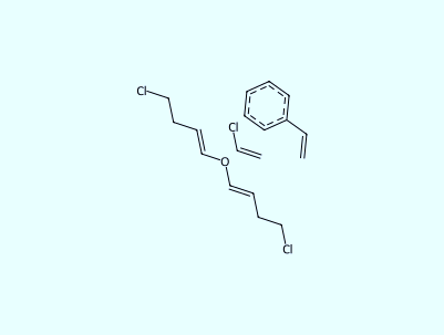 C=CCl.C=Cc1ccccc1.ClCCC=COC=CCCCl